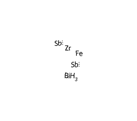 [BiH3].[Fe].[Sb].[Sb].[Zr]